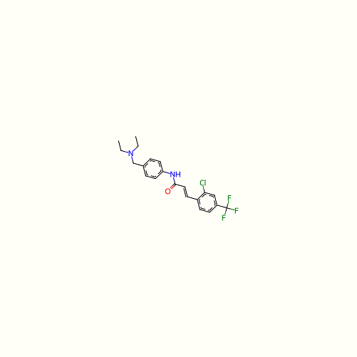 CCN(CC)Cc1ccc(NC(=O)/C=C/c2ccc(C(F)(F)F)cc2Cl)cc1